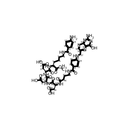 COC(=O)[C@H](CCCCNC(=O)c1ccc(N)cc1)NC(=O)[C@H](CC(=O)O)NC(=O)[C@H](CC(=O)O)NC(=O)[C@H](CC(=O)O)NC(=O)CCCNC(=O)c1ccc(NCc2cnc3nc(N)nc(O)c3n2)cc1